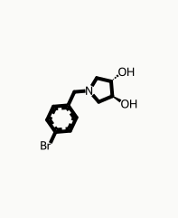 O[C@H]1CN(Cc2ccc(Br)cc2)C[C@@H]1O